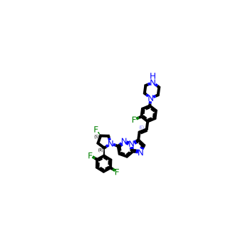 Fc1ccc(F)c([C@H]2C[C@H](F)CN2c2ccc3ncc(/C=C/c4ccc(N5CCNCC5)cc4F)n3n2)c1